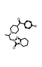 CC(Cn1nc2n(c1=O)CCCC2)N1CCC(C(=O)c2ccc(F)cc2)CC1